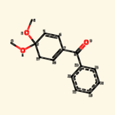 COC1(OC)C=CC(C(=O)c2ccccc2)=CC1